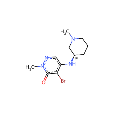 CN1CCC[C@@H](Nc2cnn(C)c(=O)c2Br)C1